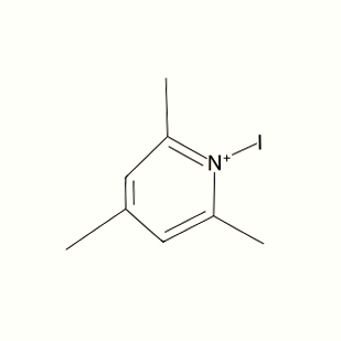 Cc1cc(C)[n+](I)c(C)c1